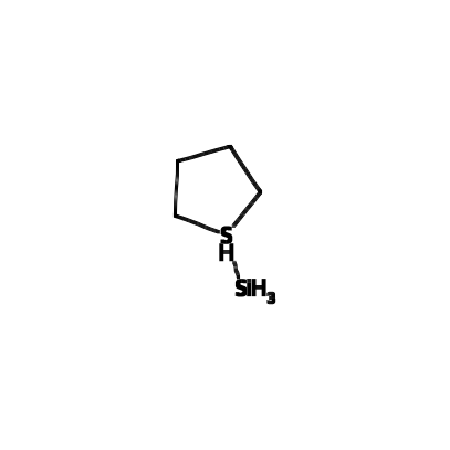 [SiH3][SH]1CCCC1